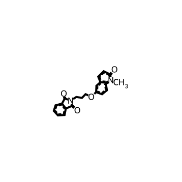 Cn1c(=O)ccc2cc(OCCCN3C(=O)c4ccccc4C3=O)ccc21